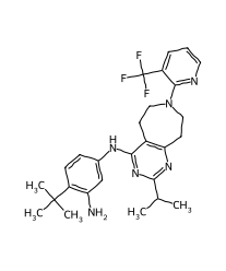 CC(C)c1nc2c(c(Nc3ccc(C(C)(C)C)c(N)c3)n1)CCN(c1ncccc1C(F)(F)F)CC2